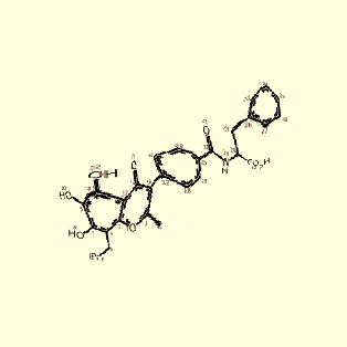 Cc1oc2c(CC(C)C)c(O)c(O)c(O)c2c(=O)c1-c1ccc(C(=O)NC(Cc2ccccc2)C(=O)O)cc1